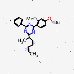 C/C=C\C=C/C(C)c1nc(-c2ccccc2)nc(-c2ccc(OCCCC)cc2OC)n1